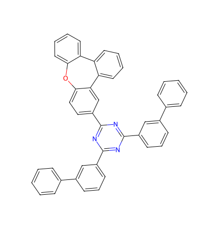 c1ccc(-c2cccc(-c3nc(-c4cccc(-c5ccccc5)c4)nc(-c4ccc5c(c4)-c4ccccc4-c4ccccc4O5)n3)c2)cc1